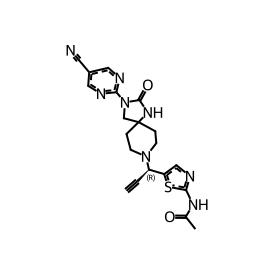 C#C[C@H](c1cnc(NC(C)=O)s1)N1CCC2(CC1)CN(c1ncc(C#N)cn1)C(=O)N2